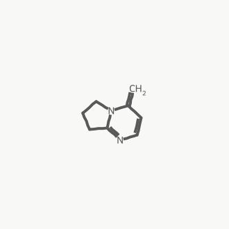 C=C1C=CN=C2CCCN12